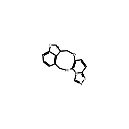 c1cc2c3c(c1)OC[C@H]3COc1ccc3nncn3c1NC2